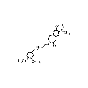 COc1ccc(CCNCCCN2CCc3cc(OC)c(OC)cc3CC2=O)cc1OC